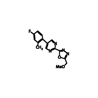 COCc1nnc(-c2ncc(-c3ccc(F)cc3C)cn2)o1